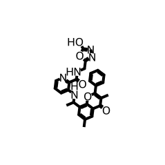 Cc1cc(C(C)Nc2cccnc2C(=O)NCc2nnc(O)o2)c2oc(-c3ccccc3)c(C)c(=O)c2c1